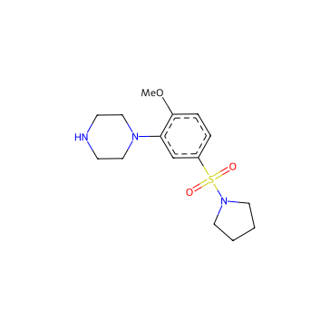 COc1ccc(S(=O)(=O)N2CCCC2)cc1N1CCNCC1